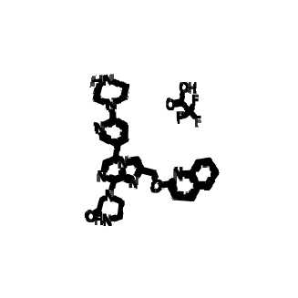 O=C(O)C(F)(F)F.O=C1CN(c2ncc(-c3ccc(N4CCNCC4)nc3)n3cc(COc4ccc5ccccc5n4)nc23)CCN1